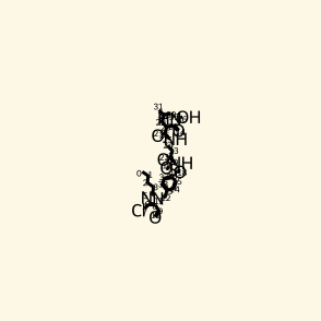 CCCCc1nc(Cl)c(C=O)n1Cc1ccc(S(=O)(=O)NC(=O)CCNC(=O)C(CC(C)C)C(=O)NO)cc1